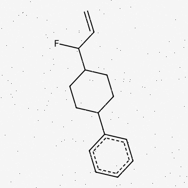 C=CC(F)C1CCC(c2ccccc2)CC1